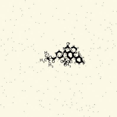 CC(C)(C)OC(=O)N1CCN(c2nc(=O)n3c4c(c(-c5ccc(F)cc5F)c(Cl)cc24)SCC3)[C@H](CS(C)(=O)=O)C1